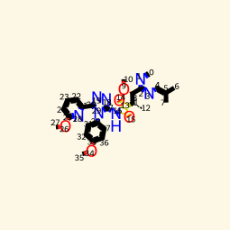 C=N/C(=N\C=C(C)C)[C@@H](OC)[C@H](C)S(=O)(=O)Nc1nnc(-c2cccc(OC)n2)n1-c1ccc(OC)cc1